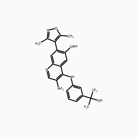 COc1cc2c(Nc3cccc(C(O)(C(F)(F)F)C(F)(F)F)c3)c(N)cnc2cc1-c1c(C)noc1C